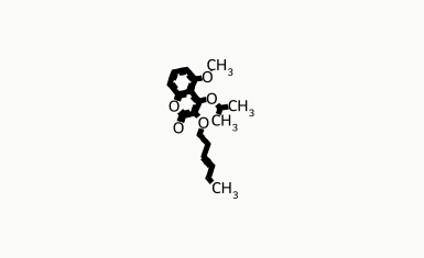 CC/C=C/CCOc1c(OC(C)C)c2c(OC)cccc2oc1=O